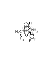 CC(C)C(=O)N[C@H](C)C(=O)N1[C@@H]2CC[C@H]1C[C@@H]([C@H](N)Cc1cc(F)c(F)cc1F)C2